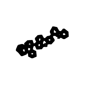 c1ccc2c(c1)-c1c(-c3ccc4c5c(cccc35)-c3cc(-c5cccc6c5sc5ccccc56)ccc3O4)cccc1C21C2CC3CC(C2)CC1C3